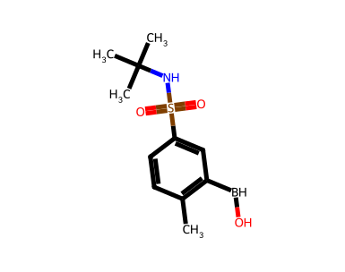 Cc1ccc(S(=O)(=O)NC(C)(C)C)cc1BO